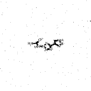 NC(=O)Nn1nnc(-c2c[nH]nn2)n1